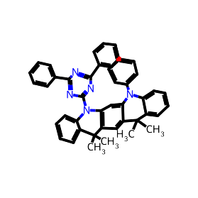 CC1(C)c2ccccc2N(c2ccccc2)c2cc3c(cc21)C(C)(C)c1ccccc1N3c1nc(-c2ccccc2)nc(-c2ccccc2)n1